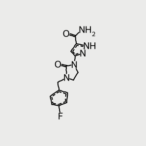 NC(=O)c1cc(N2CCN(Cc3ccc(F)cc3)C2=O)n[nH]1